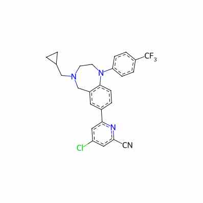 N#Cc1cc(Cl)cc(-c2ccc3c(c2)CN(CC2CC2)CCN3c2ccc(C(F)(F)F)cc2)n1